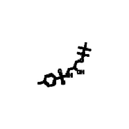 Cc1ccc(S(=O)(=O)NCC(O)CO[Si](C)(C)C(C)(C)C)cc1